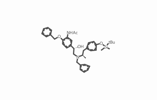 CC(=O)Nc1cc([C@H](O)CN(Cc2ccccc2)[C@H](C)Cc2ccc(O[Si](C)(C)C(C)(C)C)cc2)ccc1OCc1ccccc1